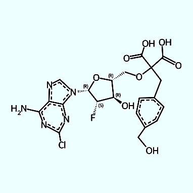 Nc1nc(Cl)nc2c1ncn2[C@@H]1O[C@H](COC(Cc2ccc(CO)cc2)(C(=O)O)C(=O)O)[C@@H](O)[C@@H]1F